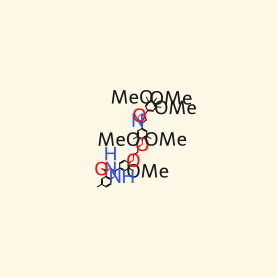 COc1cc(C2NC(=O)c3cc(C)ccc3N2)ccc1OCCCOc1c(OC)cc(C2=NOC(c3cc(OC)c(OC)c(OC)c3)C2)cc1OC